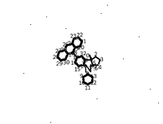 CC12CCC[C@@]1(C)N(c1ccccc1)c1ccc(-c3c4ccccc4cc4ccccc34)cc12